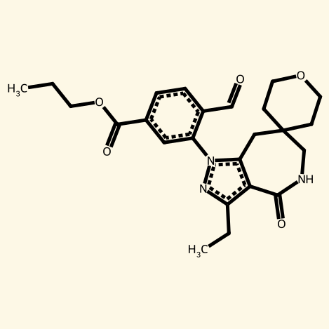 CCCOC(=O)c1ccc(C=O)c(-n2nc(CC)c3c2CC2(CCOCC2)CNC3=O)c1